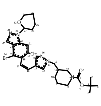 CC(C)(C)OC(=O)N1CCCC(Cn2cc(/C=C\c3c(Cl)cc4c(cnn4C4CCCCO4)c3Br)cn2)C1